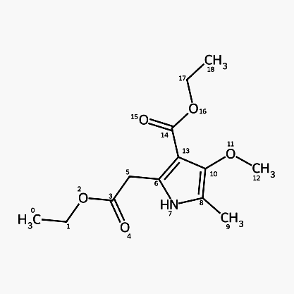 CCOC(=O)Cc1[nH]c(C)c(OC)c1C(=O)OCC